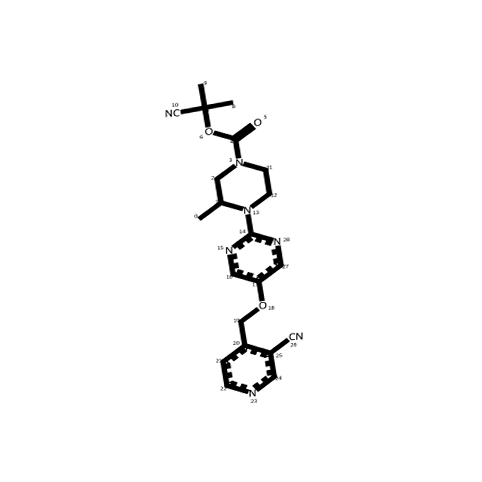 CC1CN(C(=O)OC(C)(C)C#N)CCN1c1ncc(OCc2ccncc2C#N)cn1